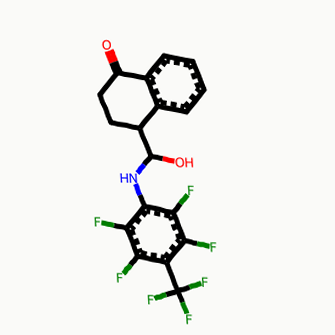 O=C1CCC(C(O)Nc2c(F)c(F)c(C(F)(F)F)c(F)c2F)c2ccccc21